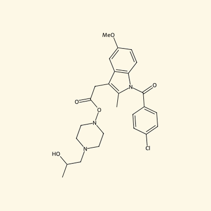 COc1ccc2c(c1)c(CC(=O)ON1CCN(CC(C)O)CC1)c(C)n2C(=O)c1ccc(Cl)cc1